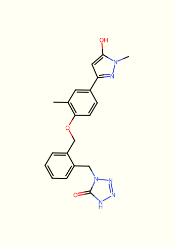 Cc1cc(-c2cc(O)n(C)n2)ccc1OCc1ccccc1Cn1nn[nH]c1=O